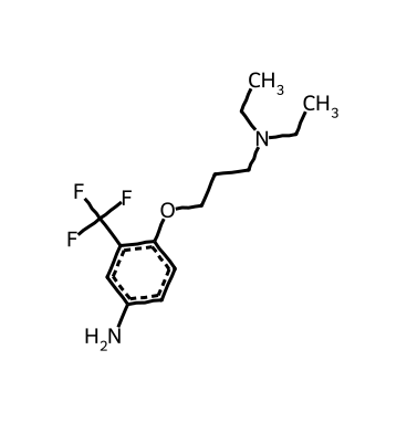 CCN(CC)CCCOc1ccc(N)cc1C(F)(F)F